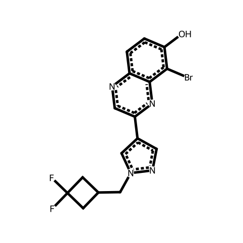 Oc1ccc2ncc(-c3cnn(CC4CC(F)(F)C4)c3)nc2c1Br